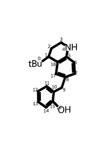 CC(C)(C)C1CCNc2ccc(Cc3ccccc3O)cc21